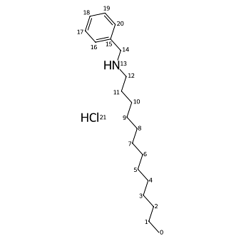 CCCCCCCCCCCCCNCc1ccccc1.Cl